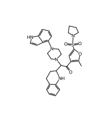 Cc1oc(S(=O)(=O)N2CCCC2)cc1C(=O)C(C1CCc2ccccc2N1)N1CCN(c2cccc3[nH]ccc23)CC1